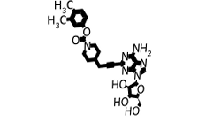 Cc1ccc(OC(=O)N2CCC(CC#Cc3nc(N)c4ncn([C@@H]5O[C@H](CO)C(O)[C@@H]5O)c4n3)CC2)cc1C